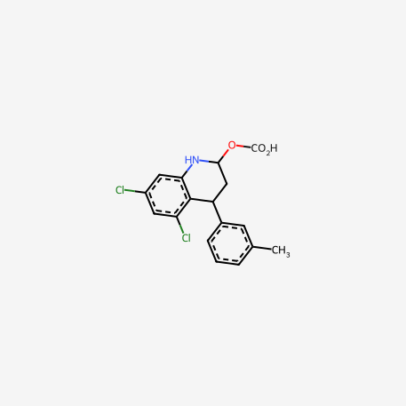 Cc1cccc(C2CC(OC(=O)O)Nc3cc(Cl)cc(Cl)c32)c1